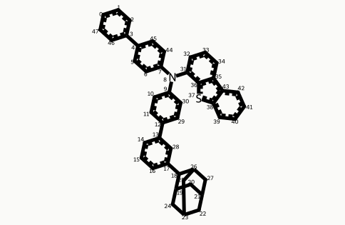 c1ccc(-c2ccc(N(c3ccc(-c4cccc(C5C6CC7CC(C6)CC5C7)c4)cc3)c3cccc4c3sc3ccccc34)cc2)cc1